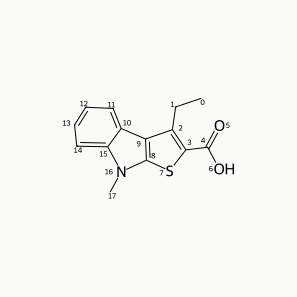 CCc1c(C(=O)O)sc2c1c1ccccc1n2C